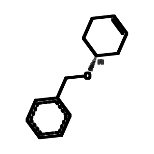 C1=CC[C@H](OCc2ccccc2)CC1